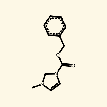 CN1C=CN(C(=O)OCc2ccccc2)C1